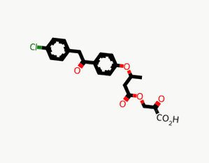 CC(CC(=O)OCC(=O)C(=O)O)Oc1ccc(C(=O)Cc2ccc(Cl)cc2)cc1